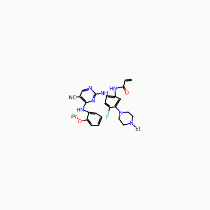 C=CC(=O)Nc1cc(N2CCN(CC)CC2)c(F)cc1Nc1ncc(C#N)c(Nc2ccccc2OC(C)C)n1